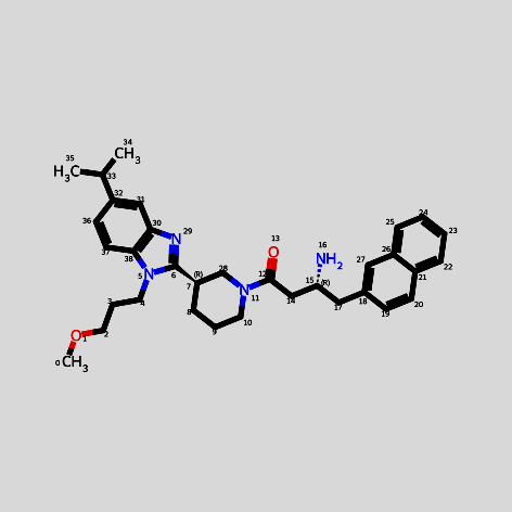 COCCCn1c([C@@H]2CCCN(C(=O)C[C@H](N)Cc3ccc4ccccc4c3)C2)nc2cc(C(C)C)ccc21